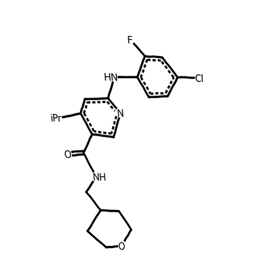 CC(C)c1cc(Nc2ccc(Cl)cc2F)ncc1C(=O)NCC1CCOCC1